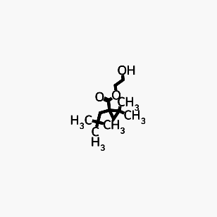 CC(C)(C)CC1(C(=O)OCCO)CC1(C)C